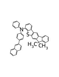 CC1(C)c2ccccc2-c2cc3c(cc21)sc1c(N(c2ccccc2)c2ccc(-c4ccc5ccccc5c4)cc2)cccc13